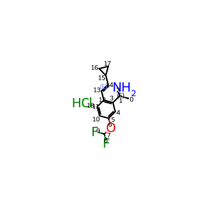 C[C@H](N)c1cc(OC(F)F)ccc1/C=C/C1CC1.Cl